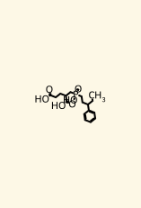 CCC(CCP(=O)(O)CC(CCC(=O)O)C(=O)O)c1ccccc1